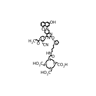 C=CC(=O)N1CCN(c2nc(OC[C@@H]3CCCN3CCCCNC(=O)CN3CCN(CC(=O)O)CCN(CC(=O)O)CCN(CC(=O)O)CC3)nc3c2CCN(c2cc(O)cc4cccc(Cl)c24)C3)C[C@@H]1CC#N